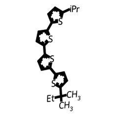 CCC(C)(C)c1ccc(-c2ccc(-c3ccc(-c4ccc(C(C)C)s4)s3)s2)s1